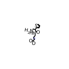 COC(=O)/C=C/CNC(=O)C(CN)c1cccs1